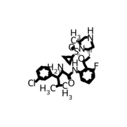 CC(C)C(c1cccc(Cl)c1)[C@H](N)C(=O)Nc1cccc(F)c1CC[C@H]1CNC[C@H](C)N1S(=O)(=O)C1CC1